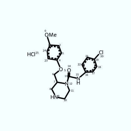 COc1ccc(OCC2CNCCN2C(=O)Nc2ccc(Cl)cc2)cc1.Cl